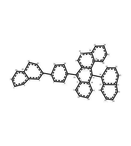 c1ccc2cc(-c3ccc(-c4c5ccccc5c(-c5cccc6ccccc56)c5c4cnc4ccccc45)cc3)ccc2c1